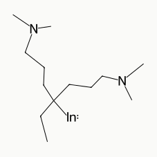 CC[C]([In])(CCCN(C)C)CCCN(C)C